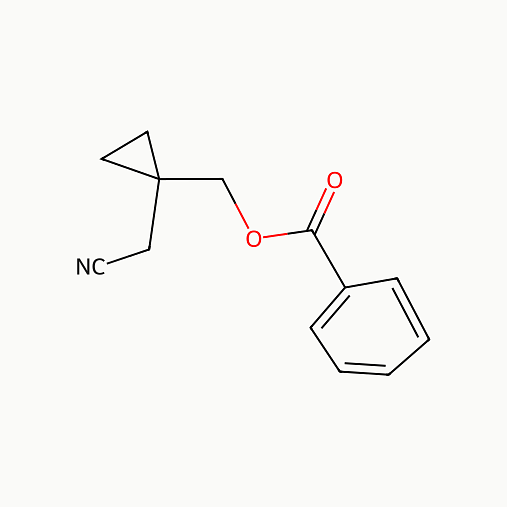 N#CCC1(COC(=O)c2ccccc2)CC1